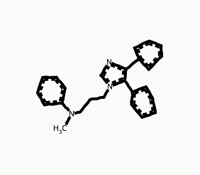 CN(CCCn1cnc(-c2ccccc2)c1-c1ccccc1)c1ccccc1